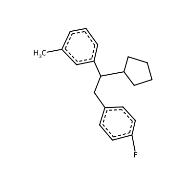 Cc1cccc(C(Cc2ccc(F)cc2)C2CCCC2)c1